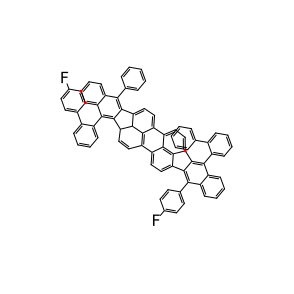 Fc1ccc(-c2ccccc2-c2c3c(c(-c4ccccc4)c4ccccc24)C2=CC=c4c5c(c6ccc7c8c(ccc4c68)-c4c-7c(-c6ccc(F)cc6)c6ccccc6c4-c4ccccc4-c4ccccc4)C=CC3C25)cc1